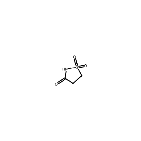 O=C1CCS(=O)(=O)N1